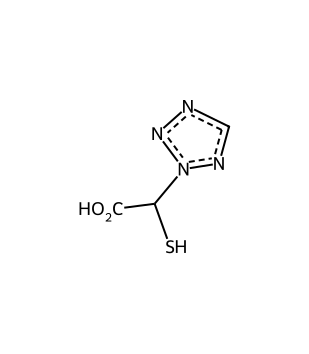 O=C(O)C(S)n1ncnn1